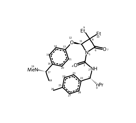 CCC[C@@H](NC(=O)N1C(=O)C(CC)(CC)[C@@H]1Oc1ccc([C@H](C)NC)cc1)c1ccc(C)cc1